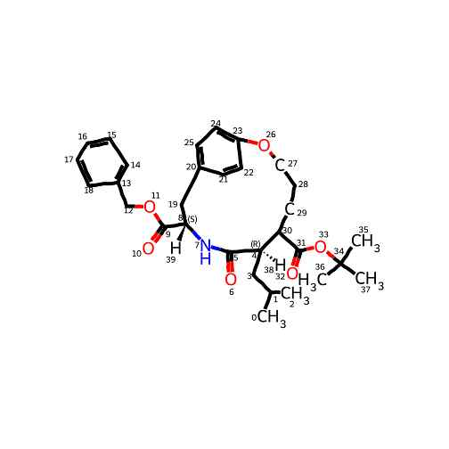 CC(C)C[C@H]1C(=O)N[C@H](C(=O)OCc2ccccc2)Cc2ccc(cc2)OCCCC1C(=O)OC(C)(C)C